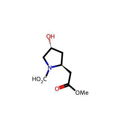 COC(=O)C[C@@H]1C[C@@H](O)CN1C(=O)O